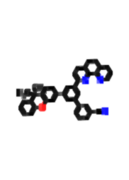 CC1(C)c2ccccc2Oc2cc(-c3cc(-c4cccc(C#N)c4)cc(-c4ccc5ccc6cccnc6c5n4)c3)ccc21